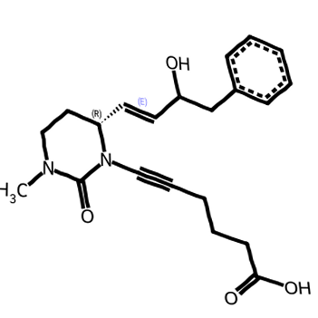 CN1CC[C@H](/C=C/C(O)Cc2ccccc2)N(C#CCCCC(=O)O)C1=O